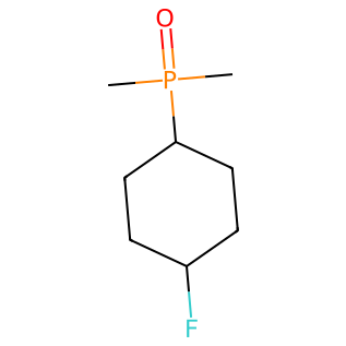 CP(C)(=O)C1CCC(F)CC1